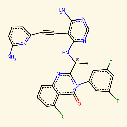 C[C@H](Nc1ncnc(N)c1C#Cc1cccc(N)n1)c1nc2cccc(Cl)c2c(=O)n1-c1cc(F)cc(F)c1